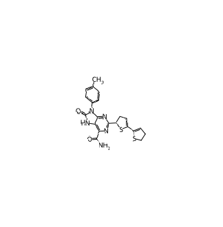 Cc1ccc(-n2c(=O)[nH]c3c(C(N)=O)nc(C4CC=C(C5=CCCS5)S4)nc32)cc1